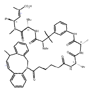 CNC(C(=O)N[C@H](C(=O)N(C)[C@H](/C=C(\C)C(=O)O)C(C)C)C(C)(C)C)C(C)(C)c1cccc(NC(=O)[C@H](C)NC(=O)[C@@H](NC(=O)CCCCC(=O)N2Cc3ccccc3C(C)/C=C\c3ccccc32)C(C)C)c1